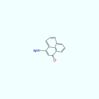 N#CC1=CC(=O)c2cccc3cccc1c23